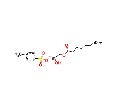 CCCCCCCCCCCCCCCC(=O)OC[C@@H](O)COS(=O)(=O)c1ccc(C)cc1